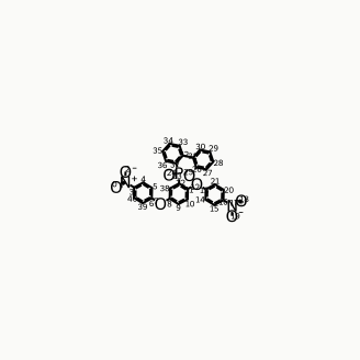 O=[N+]([O-])c1ccc(Oc2ccc(Oc3ccc([N+](=O)[O-])cc3)c(P3(=O)Oc4ccccc4-c4ccccc43)c2)cc1